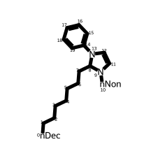 CCCCCCCCCCCCCCCCCC1N(CCCCCCCCC)C=CN1c1ccccc1